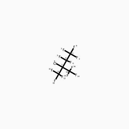 FC(F)(F)C(F)(F)C(Cl)(C(F)(F)F)C(F)(F)F